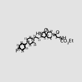 CCOC(=O)NCC(=O)N1CCC2(CC1)C[C@H](CCN1CCN(c3ccc(F)cc3)C[C@@H]1C)NC2=O